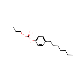 CCCCCCCc1ccc(OC(=O)OCCC)cc1